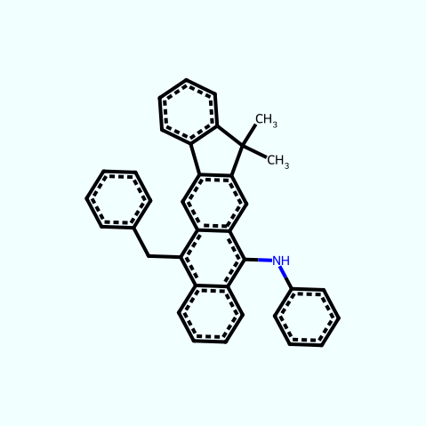 CC1(C)c2ccccc2-c2cc3c(Cc4ccccc4)c4ccccc4c(Nc4ccccc4)c3cc21